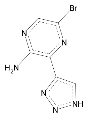 Nc1ncc(Br)nc1-c1c[nH]nn1